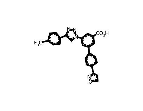 O=C(O)c1cc(-c2ccc(-c3ccon3)cc2)cc(-n2cc(-c3ccc(C(F)(F)F)cc3)nn2)c1